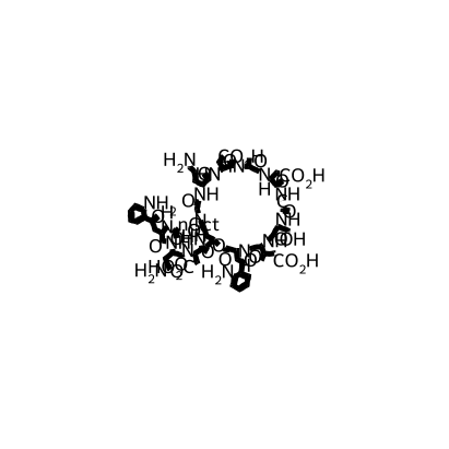 CCCCCCCCC(=O)NC(CC(=O)c1ccccc1N)C(=O)NC(CC(N)=O)C(=O)NC(CC(=O)O)C(=O)NC1C(=O)NCC(=O)NC(CCCN)C(=O)NC(CC(=O)O)C(=O)NC(C)C(=O)NC(CC(=O)O)C(=O)NCC(=O)NC(CO)C(=O)NC(C(C)CC(=O)O)C(=O)NC(CC(=O)c2ccccc2N)C(=O)OC1C